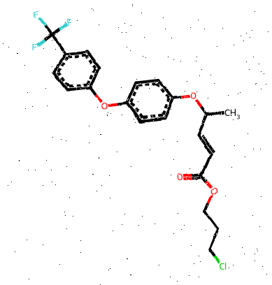 CC(/C=C/C(=O)OCCCCl)Oc1ccc(Oc2ccc(C(F)(F)F)cc2)cc1